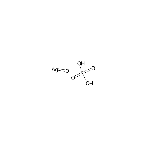 O=S(=O)(O)O.[O]=[Ag]